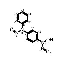 O=NN(O)c1ccc(N(N=O)c2ccccc2)cc1